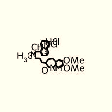 COc1cc2c(cc1OC)NC(=O)C(CCCN(C)C(C)c1cccc3ccccc13)CC2.Cl.Cl